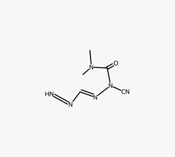 CN(C)C(=O)N(C#N)N=CN=N